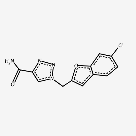 NC(=O)c1cn(Cc2cc3ccc(Cl)cc3o2)nn1